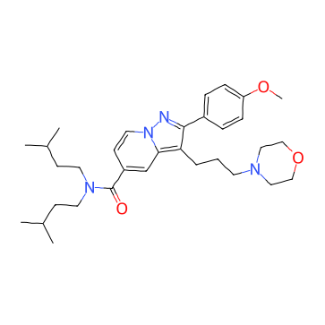 COc1ccc(-c2nn3ccc(C(=O)N(CCC(C)C)CCC(C)C)cc3c2CCCN2CCOCC2)cc1